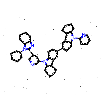 c1ccc(-n2c(-c3cncc(-n4c5ccccc5c5cc(-c6ccc7c(c6)c6ccccc6n7-c6ccccn6)ccc54)c3)nc3ccccc32)cc1